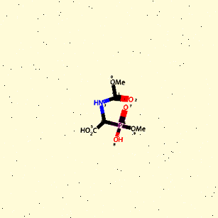 [CH2]OC(=O)NC(C(=O)O)P(=O)(O)OC